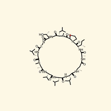 CC[C@H](C)[C@@H]1NC(=O)[C@H](C)NC(=O)C[C@H](C)NC(=O)[C@H](CC(C)C)NC(=O)[C@H](CC(C)C)NC(=O)[C@H](C(C)C)NC(=O)[C@H](C)N(C)C(=O)[C@H](CC(C)C)NC(=O)CNC(=O)[C@H]([C@@H](C)O)NC(=O)[C@H](CC(C)C)N(C)C(=O)[C@@H]2CCCN2C1=O